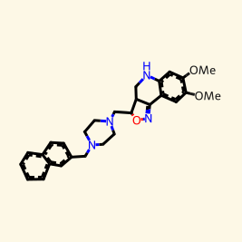 COc1cc2c(cc1OC)C1=NOC(CN3CCN(Cc4ccc5ccccc5c4)CC3)C1CN2